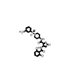 Nc1cccc(S(=O)(=O)N2CCC(NC(=O)c3n[nH]cc3NC(=O)c3c(Cl)cccc3Cl)CC2)c1